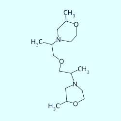 CC1CN(C(C)COCC(C)N2CCOC(C)C2)CCO1